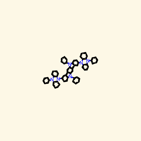 c1ccc(N2c3ccccc3N(c3ccc4c(c3)c3cc5c(cc3n4-c3ccccc3)c3cc(N4c6ccccc6N(c6ccccc6)c6ccccc64)ccc3n5-c3ccccc3)c3ccccc32)cc1